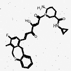 Cc1c(F)cc(/C=C/C(=O)/C(O)=C/C(=O)N2CC(C(=O)NC3CC3)CC[C@H]2N)c2c1CSc1ccccc1C2